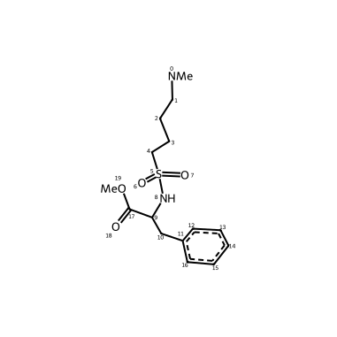 CNCCCCS(=O)(=O)NC(Cc1ccccc1)C(=O)OC